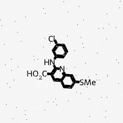 CSc1ccc2cc(C(=O)O)c(Nc3cccc(Cl)c3)nc2c1